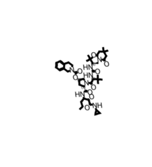 CCCC(NC(=O)[C@@H]1C[C@@H](OC(=O)N2CCc3ccccc3C2)CN1C(=O)[C@@H](NC(=O)N[C@H](CN1C(=O)CC(C)(C)CC1=O)C(C)(C)C)C(C)(C)C)C(=O)C(=O)NC1CC1